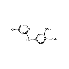 COc1ccc(Nc2nccc(Cl)n2)cc1OC